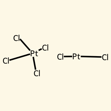 [Cl][Pt]([Cl])([Cl])[Cl].[Cl][Pt][Cl]